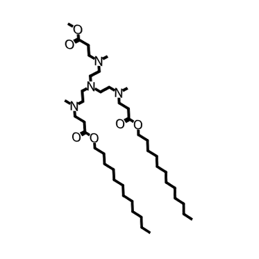 CCCCCCCCCCCCOC(=O)CCN(C)CCN(CCN(C)CCC(=O)OC)CCN(C)CCC(=O)OCCCCCCCCCCCC